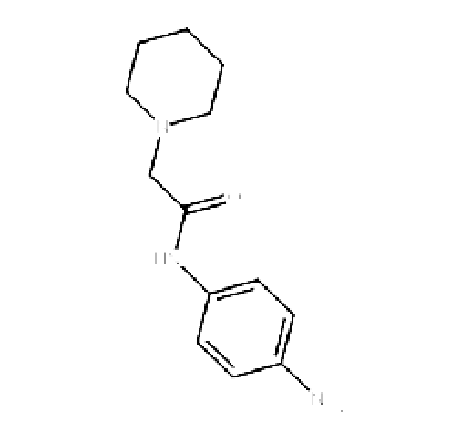 Nc1ccc(NC(=O)CN2CCCCC2)cc1